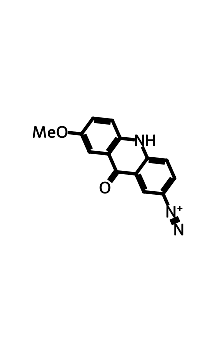 COc1ccc2[nH]c3ccc([N+]#N)cc3c(=O)c2c1